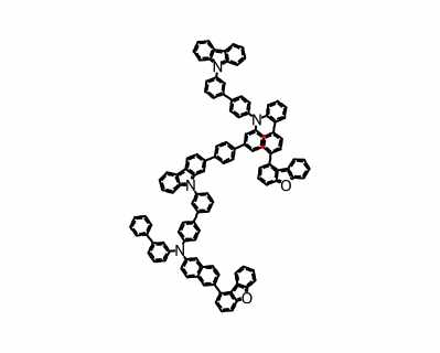 c1ccc(-c2cccc(N(c3ccc(-c4cccc(-n5c6ccccc6c6ccc(-c7ccc(-c8cccc(N(c9ccc(-c%10cccc(-n%11c%12ccccc%12c%12ccccc%12%11)c%10)cc9)c9ccccc9-c9ccc(-c%10cccc%11oc%12ccccc%12c%10%11)cc9)c8)cc7)cc65)c4)cc3)c3ccc4cc(-c5cccc6oc7ccccc7c56)ccc4c3)c2)cc1